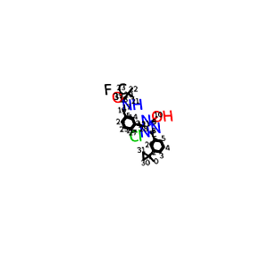 CC1(c2cccc(-c3nc(O)nc(-c4cc(CNC(=O)C(C)(C)C(F)(F)F)ccc4Cl)n3)c2)CC1